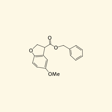 COc1ccc2c(c1)C(C(=O)OCc1ccccc1)CO2